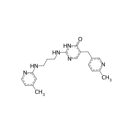 Cc1ccnc(NCCCNc2ncc(Cc3ccc(C)nc3)c(=O)[nH]2)c1